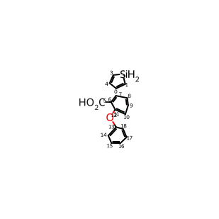 C1=C[SiH2]C=C1.O=C(O)c1ccccc1Oc1ccccc1